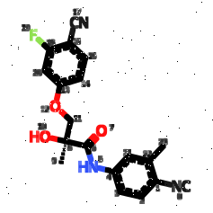 [C-]#[N+]c1ccc(NC(=O)[C@@](C)(O)COc2ccc(C#N)c(F)c2)cc1C